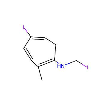 CC1=C(NCI)CC=C(I)C=C1